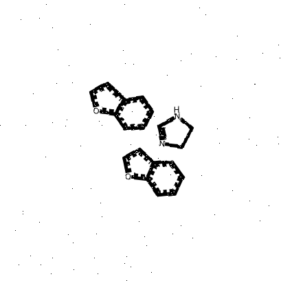 C1=NCCN1.c1ccc2occc2c1.c1ccc2occc2c1